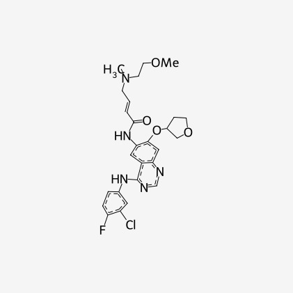 COCCN(C)C/C=C/C(=O)Nc1cc2c(Nc3ccc(F)c(Cl)c3)ncnc2cc1OC1CCOC1